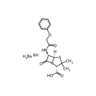 CC1(C)S[C@@H]2[C@H](NC(=O)COc3ccccc3)C(=O)N2[C@H]1C(=O)O.[BaH2].[KH]